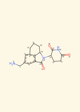 NCc1cc2c3c(c1)C(=O)N(C1CCC(=O)NC1=O)C3CCC2